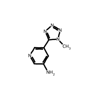 Cn1nnnc1-c1cncc(N)c1